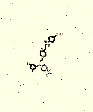 COc1ccc(S(=O)(=O)CCC2(C)CCN(CC[C@@H](c3cc(F)cc(F)c3)N3CCN(S(C)(=O)=O)CC3)CC2)cc1